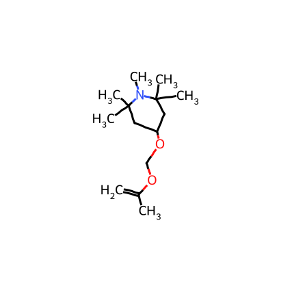 C=C(C)OCOC1CC(C)(C)N(C)C(C)(C)C1